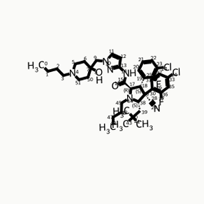 CCCCN1CCC(O)(Cn2ccc(NC(=O)[C@H]3[C@H](c4cccc(Cl)c4F)[C@@](C#N)(c4ccc(Cl)cc4F)[C@H](CC(C)(C)C)N3CCCC)n2)CC1